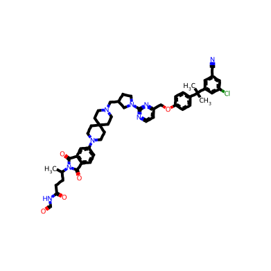 CC(CCC(=O)NC=O)N1C(=O)c2ccc(N3CCC4(CCN(CC5CCN(c6nccc(COc7ccc(C(C)(C)c8cc(Cl)cc(C#N)c8)cc7)n6)C5)CC4)CC3)cc2C1=O